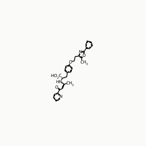 C/C(=C/C(=O)c1ccccn1)N[C@@H](Cc1ccc(OCCc2nc(-c3ccccc3)oc2C)cc1)C(=O)O